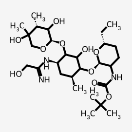 CC[C@@H]1CCC(NC(=O)OC(C)(C)C)[C@@H](OC2C(O)C(O[C@H]3OCC(C)(O)[C@H](C)C3O)[C@H](NC(=N)CO)C[C@@H]2C)O1